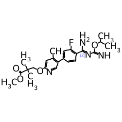 COC(=O)C(C)(C)COc1cc(C)c(-c2ccc(/C(N)=N/C(=N)OC(C)C)c(F)c2)cn1